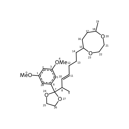 COc1cc(OC)cc(C2(C(C)/C=C/CCCC3CCC(C)OCCO3)OCCO2)c1